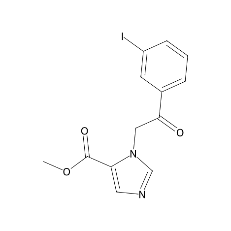 COC(=O)c1cncn1CC(=O)c1cccc(I)c1